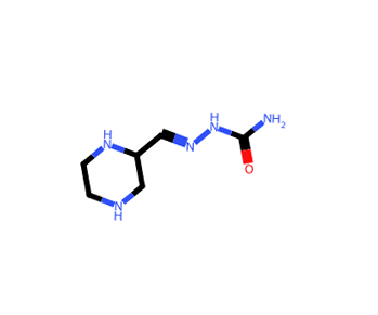 NC(=O)N/N=C/C1CNCCN1